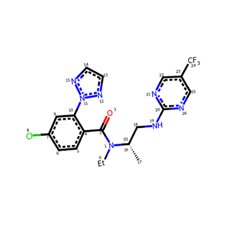 CCN(C(=O)c1ccc(Cl)cc1-n1nccn1)[C@@H](C)CNc1ncc(C(F)(F)F)cn1